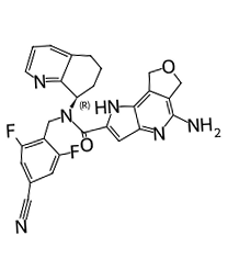 N#Cc1cc(F)c(CN(C(=O)c2cc3nc(N)c4c(c3[nH]2)COC4)[C@@H]2CCCc3cccnc32)c(F)c1